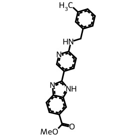 COC(=O)c1ccc2nc(-c3ccc(NCc4cccc(C)c4)nc3)[nH]c2c1